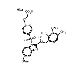 COc1ccc2c(c1)nc([S+]([O-])Cc1ncc(C)c(OC)c1C)n2S(=O)(=O)c1ccc(OCC(=O)O)cc1.[NaH]